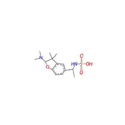 CC(NS(=O)(=O)O)c1ccc2c(c1)C(C)(C)C(N(C)C)O2